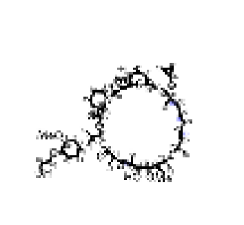 CO[C@@H]1C[C@H](C[C@@H](C)[C@@H]2CC(=O)[C@H](C)/C=C(\C)[C@@H](O)[C@@H](OC)C(=O)[C@H](C)C[C@H](C)/C=C/C=C/C=C(\C)[C@@H](OC3CC3)C[C@@H]3CC[C@@H](C)[C@@](O)(O3)C(=O)C(=O)N3CCCC[C@H]3C(=O)O2)CC[C@H]1OCCO